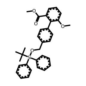 COC(=O)c1cccc(OC)c1-c1ccc(CO[Si](c2ccccc2)(c2ccccc2)C(C)(C)C)cc1